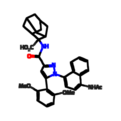 COc1cccc(OC)c1-c1cc(C(=O)NC2(C(=O)O)C3CC4CC(C3)CC2C4)nn1-c1ccc(NC(C)=O)c2ccccc12